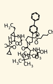 C=C[C@@H]1CC1(NC(=O)[C@@H]1C[C@](c2ccc(-c3ccccc3)cc2)(S(=O)(=O)CCCC)CN1C(=O)[C@@H](NC(=O)O)C(C)(C)CC(C)(C)C)C(=O)NS(=O)(=O)C1CC1